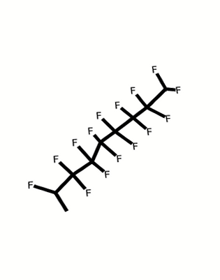 CC(F)C(F)(F)C(F)(F)C(F)(F)C(F)(F)C(F)(F)C(F)(F)[C](F)F